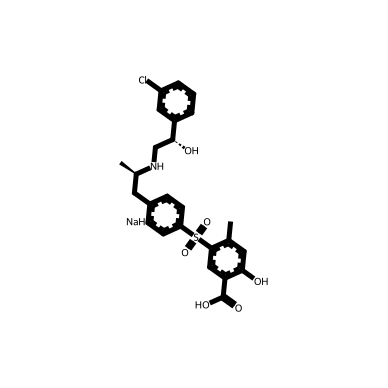 Cc1cc(O)c(C(=O)O)cc1S(=O)(=O)c1ccc(C[C@@H](C)NC[C@@H](O)c2cccc(Cl)c2)cc1.[NaH]